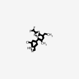 CCc1cc(C)c(-c2cc(Cl)c3[nH]ncc3c2)n2nc(C(F)F)nc12